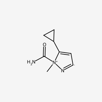 C[N+]1(C(N)=O)N=[C]C=C1C1CC1